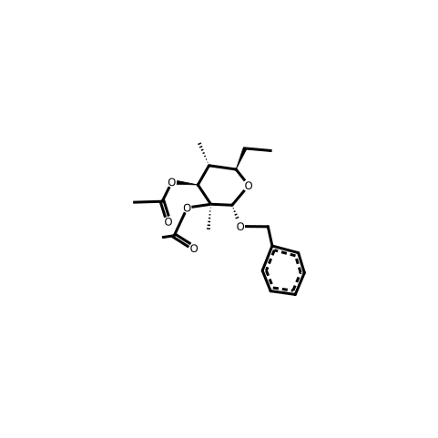 CC[C@H]1O[C@H](OCc2ccccc2)[C@@](C)(OC(C)=O)[C@@H](OC(C)=O)[C@@H]1C